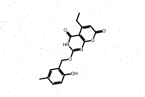 CCc1cc(=O)oc2nc(OCc3cc(C)ccc3O)[nH]c(=O)c12